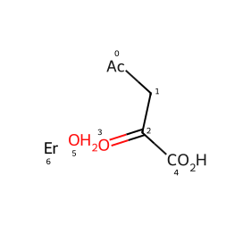 CC(=O)CC(=O)C(=O)O.O.[Er]